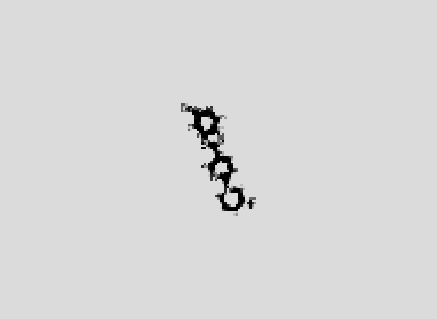 F[C@H]1CCCN(c2ccc(-c3nc4ccc(Br)cc4s3)cn2)C1